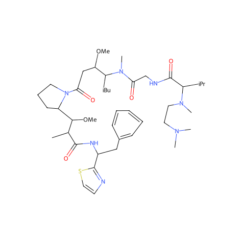 CCC(C)C(C(CC(=O)N1CCCC1C(OC)C(C)C(=O)NC(Cc1ccccc1)c1nccs1)OC)N(C)C(=O)CNC(=O)C(C(C)C)N(C)CCN(C)C